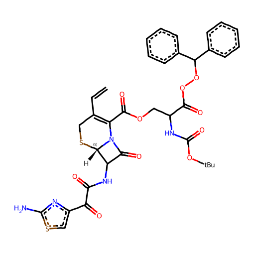 C=CC1=C(C(=O)OCC(NC(=O)OC(C)(C)C)C(=O)OOC(c2ccccc2)c2ccccc2)N2C(=O)C(NC(=O)C(=O)c3csc(N)n3)[C@@H]2SC1